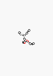 c1ccc2nc(-c3nc(-c4ccc5c(c4)-c4ccc(-c6ccc7oc8ccccc8c7c6)cc4C54C5CC6CC(C5)CC4C6)nc(-c4ccc5c(c4)oc4ccccc45)n3)ccc2c1